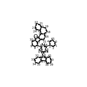 c1ccc(-c2nc(-c3cccc4oc5c(ccc6ccc7ccccc7c65)c34)nc(-n3c4ccccc4c4ccccc43)n2)cc1